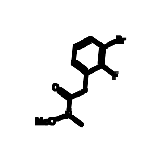 CON(C)C(=O)Cc1cccc(Br)c1F